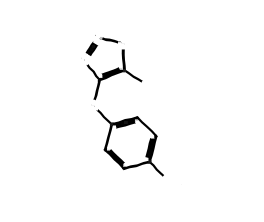 Cc1ccc(Nc2nn[nH]c2C(=O)O)cc1